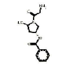 C[C@@H]1C[C@@H](NC(=O)c2ccccc2)CN1C(=O)CN